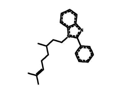 CC(C)=CCCC(C)CCn1c(-c2ccccc2)nc2ccccc21